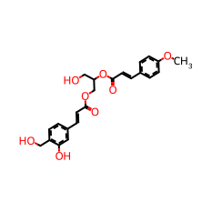 COc1ccc(/C=C/C(=O)OC(CO)COC(=O)/C=C/c2ccc(CO)c(O)c2)cc1